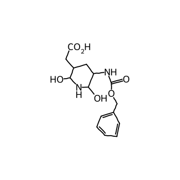 O=C(O)CC1CC(NC(=O)OCc2ccccc2)C(O)NC1O